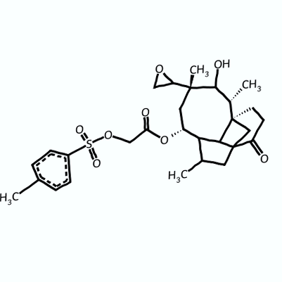 Cc1ccc(S(=O)(=O)OCC(=O)O[C@@H]2C[C@](C)(C3CO3)C(O)[C@H](C)[C@]34CCC(=O)C5(CC(C)C2C53)C4)cc1